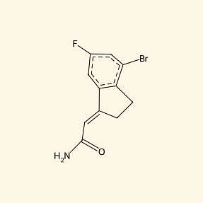 NC(=O)/C=C1\CCc2c(Br)cc(F)cc21